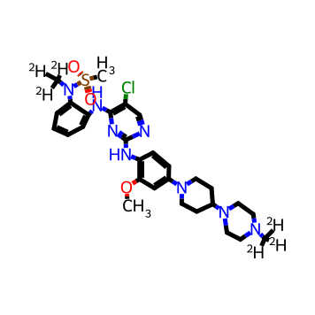 [2H]C([2H])([2H])N1CCN(C2CCN(c3ccc(Nc4ncc(Cl)c(Nc5ccccc5N(C([2H])([2H])[2H])S(C)(=O)=O)n4)c(OC)c3)CC2)CC1